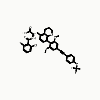 COc1cc(C#Cc2ccc(OC(F)(F)F)cc2)cc(OC)c1-c1ccc(C[C@H](NC(=O)c2c(Cl)cccc2Cl)C(=O)O)c2c1OCCC2